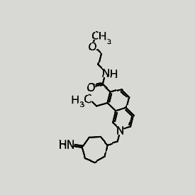 CCc1c(C(=O)NCCOC)ccc2c1=CN(CC1CCCC(=N)CC1)C=C=2